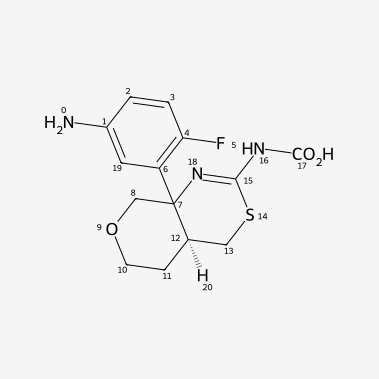 Nc1ccc(F)c(C23COCC[C@@H]2CSC(NC(=O)O)=N3)c1